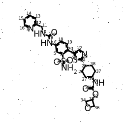 NS(=O)(=O)c1cc(NC(=O)NCc2ccccn2)ccc1-c1cnc([C@H]2CC[C@H](NC(=O)OC3COC3)CC2)s1